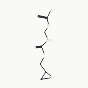 CC(C)C(=O)OCNC(=O)OCC1CO1